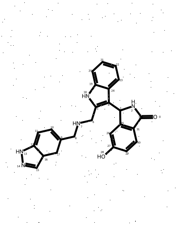 O=C1NC(c2c(CNCC3=CC=C4NN=CC4C3)[nH]c3ccccc23)c2cc(O)ccc21